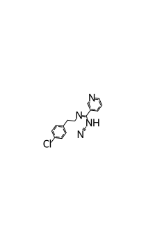 N#CN/C(=N\CCc1ccc(Cl)cc1)c1cccnc1